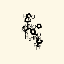 Nc1nccn2c([C@@H]3CC[C@H]4CCC(=O)N4C3)nc(-c3ccc(C(=O)Nc4cc(C(F)(F)F)ccn4)cc3OC3CCCC3)c12